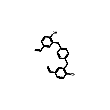 C=Cc1ccc(O)c(Cc2ccc(Cc3cc(C=C)ccc3O)cc2)c1